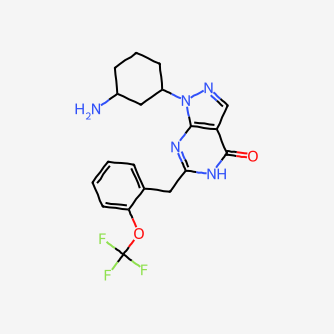 NC1CCCC(n2ncc3c(=O)[nH]c(Cc4ccccc4OC(F)(F)F)nc32)C1